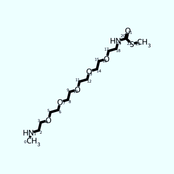 CNCCOCCOCCOCCOCCOCCNC(=O)SC